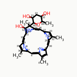 CC1=CC2=NC1=CC1=NC(=CC3=C(O)C(C)(C4OC(C)C(O)CC4O)C(=CC4=NC(=C2)C(C)=C4)N3)C=C1C